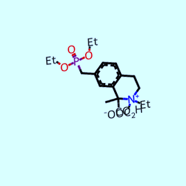 CCOP(=O)(Cc1ccc2c(c1)C(C)(C(=O)O)[N+](CC)(C(=O)[O-])CC2)OCC